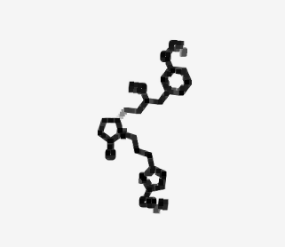 O=C(O)c1ccc(CCCN2C(=O)CC[C@@H]2CCC(O)Cc2cccc(OC(F)(F)F)c2)s1